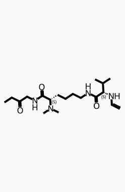 C=CN[C@H](C(=O)NCCCC[C@@H](C(=O)NCC(=O)CC)N(C)C)C(C)C